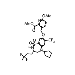 COC(=O)c1nc(OC)ccc1COc1cc2c(cc1C(F)(F)F)N(C1CCCC1)C[C@@H](CCC(C)(F)F)N(C)S2(=O)=O